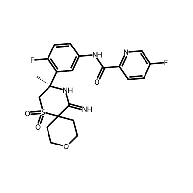 C[C@@]1(c2cc(NC(=O)c3ccc(F)cn3)ccc2F)CS(=O)(=O)C2(CCOCC2)C(=N)N1